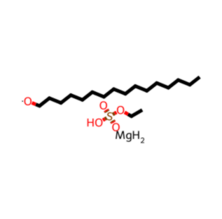 CCCCCCCCCCCCCCCC[O].CCOS(=O)(=O)O.[MgH2]